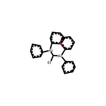 CCC([As](c1ccccc1)c1ccccc1)[As](c1ccccc1)c1ccccc1